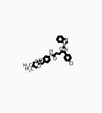 CC1(C)COP(=O)(Cc2ccc(NC(=O)CCc3oc(-n4cnc5ccccc54)nc3-c3ccc(Cl)cc3)cc2)OC1